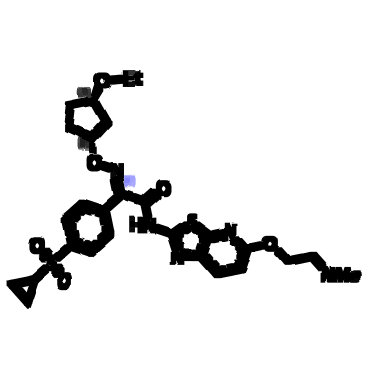 CCO[C@@H]1CC[C@@H](O/N=C(/C(=O)Nc2nc3ccc(OCCNC)nc3s2)c2ccc(S(=O)(=O)C3CC3)cc2)C1